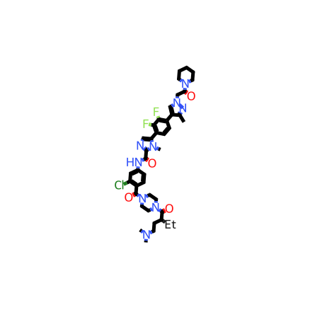 CCC(CCN(C)C)C(=O)N1CCN(C(=O)c2ccc(NC(=O)c3ncc(-c4ccc(-c5cn(CC(=O)N6CCCCC6)nc5C)c(F)c4F)n3C)cc2Cl)CC1